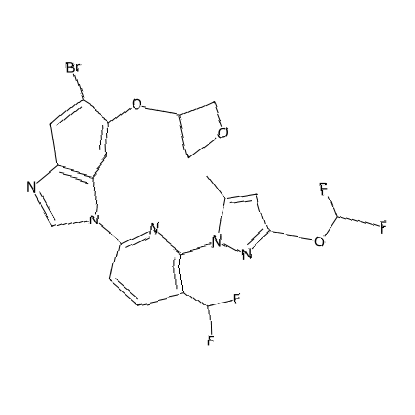 Cc1cc(OC(F)F)nn1-c1nc(-n2cnc3cc(Br)c(OC4COC4)cc32)ccc1C(F)F